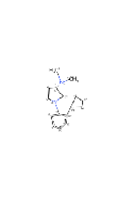 CN(C)[C@H]1CCN(c2cc[c]cc2C2CCC2)C1